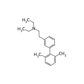 CCN(CC)CCc1cccc(-c2c(C)cccc2C)c1